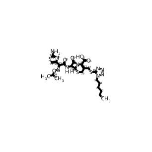 CCCCCCn1nnnc1SCC1=C(C(=O)O)N2C(=O)C(NC(=O)C(=NOC(C)C)c3csc(N)n3)[C@@H]2SC1